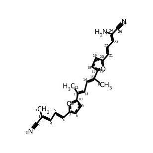 C/C(C#N)=C\C=C\c1ccc(/C(C)=C/C=C(\C)c2ccc(/C=C/C=C(\N)C#N)o2)o1